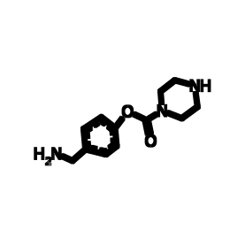 NCc1ccc(OC(=O)N2CCNCC2)cc1